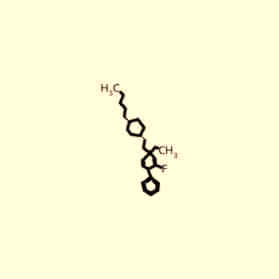 CCCCC[C@H]1CC[C@H](CCC2(CC)C=CC(c3ccccc3)C(F)=C2)CC1